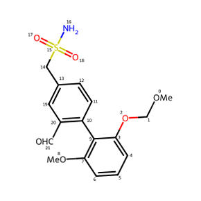 COCOc1cccc(OC)c1-c1ccc(CS(N)(=O)=O)cc1C=O